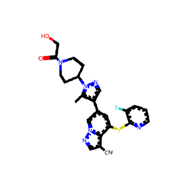 Cc1c(-c2cc(Sc3ncccc3F)c3c(C#N)cnn3c2)cnn1C1CCN(C(=O)CO)CC1